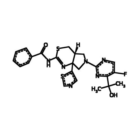 CC(C)(O)c1nc(N2C[C@H]3CSC(NC(=O)c4ccccc4)=NC3(c3cncs3)C2)ncc1F